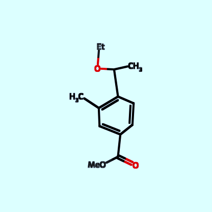 CCOC(C)c1ccc(C(=O)OC)cc1C